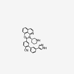 Cc1cccc2ccnc(N(C(=O)c3ccc(C#N)c(-c4cccc(-c5cn[nH]c5)c4)c3)[C@@H]3CCCNC3)c12